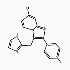 Cc1ccc(-c2nc3cc(Cl)ccn3c2Cc2ncc[nH]2)cc1